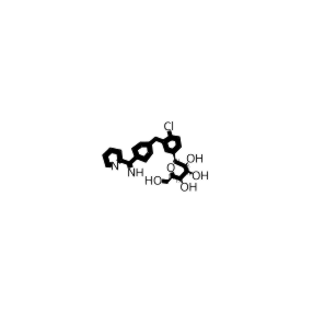 N=C(c1ccc(Cc2cc([C@@H]3O[C@H](CO)[C@@H](O)[C@H](O)[C@H]3O)ccc2Cl)cc1)c1ccccn1